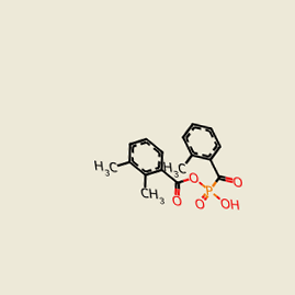 Cc1ccccc1C(=O)P(=O)(O)OC(=O)c1cccc(C)c1C